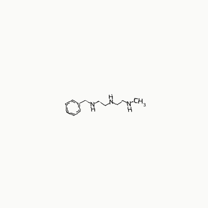 CNCCNCCNCc1ccccc1